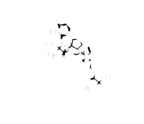 COC1C(O)[C@@H](/C=C\P(=O)(OCOC(=O)C(C)(C)C)OCOC(=O)C(C)(C)C)O[C@H]1n1ccc(=O)[nH]c1=O